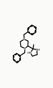 CC1(C2CN(Cc3ccccc3)CCN2Cc2ccccc2)NCCN1